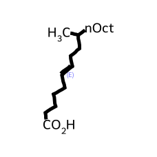 CCCCCCCCC(C)CC/C=C/CCCCC(=O)O